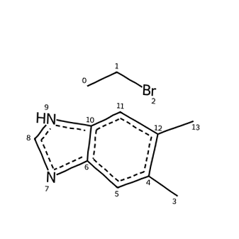 CCBr.Cc1cc2nc[nH]c2cc1C